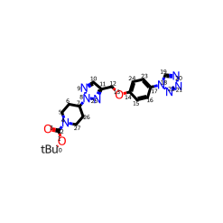 CC(C)(C)OC(=O)N1CCC(n2ncc(COc3ccc(-n4cnnn4)cc3)n2)CC1